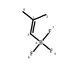 CC(C)=C[B-](F)(F)F